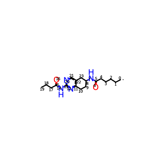 [CH2]CCCCC(=O)NC1CCc2nc(NC(=O)CCC)ncc2C1